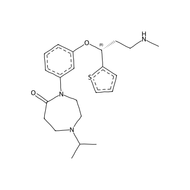 CNCC[C@@H](Oc1cccc(N2CCN(C(C)C)CCC2=O)c1)c1cccs1